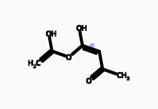 C=C(O)O/C(O)=C\C(C)=O